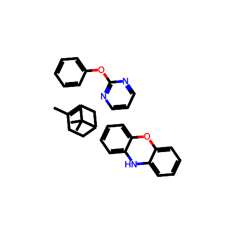 CC1=C2CC(CC1)C2(C)C.c1ccc(Oc2ncccn2)cc1.c1ccc2c(c1)Nc1ccccc1O2